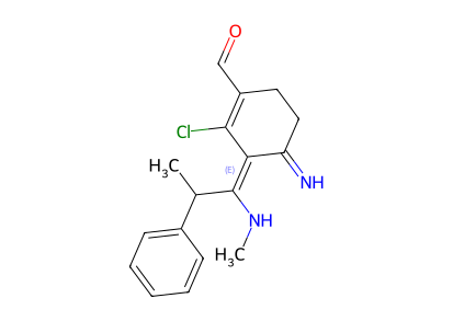 CN/C(=C1\C(=N)CCC(C=O)=C1Cl)C(C)c1ccccc1